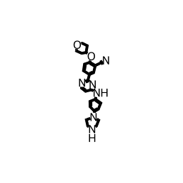 N#Cc1cc(-c2nccc(Nc3ccc(N4CCNCC4)cc3)n2)ccc1OC1CCOCC1